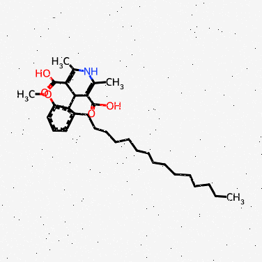 CCCCCCCCCCCCCCCc1cccc(OC)c1C1C(C(=O)O)=C(C)NC(C)=C1C(=O)O